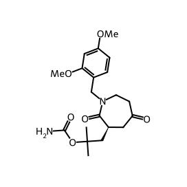 COc1ccc(CN2CCC(=O)C[C@@H](CC(C)(C)OC(N)=O)C2=O)c(OC)c1